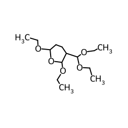 CCOC1CCC(C(OCC)OCC)C(OCC)O1